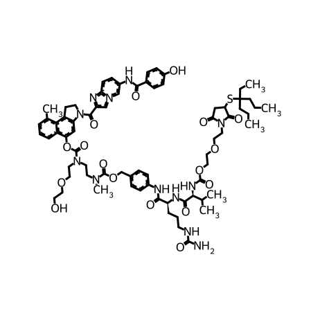 CCCC(CC)(CCC)SC1CC(=O)N(CCOCCOC(=O)N[C@H](C(=O)N[C@@H](CCCNC(N)=O)C(=O)Nc2ccc(COC(=O)N(C)CCN(CCOCCO)C(=O)Oc3cc4c(c5c(C)cccc35)CCN4C(=O)c3cn4cc(NC(=O)c5ccc(O)cc5)ccc4n3)cc2)C(C)C)C1=O